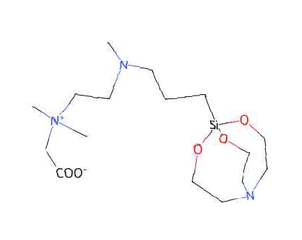 CN(CCC[Si]12OCCN(CCO1)CCO2)CC[N+](C)(C)CC(=O)[O-]